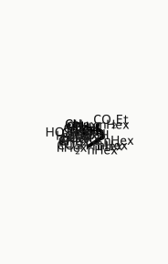 CC(=O)O.CC(=O)O.CC(=O)O.CC(=O)O.CC(=O)O.CC(=O)O.CC(=O)O.CC(=O)O.CCCCCCC(CCC(CCCCCC)(CCCCCC)C(=O)OCC)C(CCCCCC)(CCCCCC)C(CCCCCC)(CCCCCC)C(CCCCCC)(CCCCCC)CCCCCC